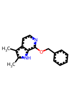 Cc1[nH]c2c(OCc3ccccc3)nccc2c1C